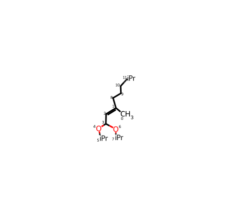 C/C(=C\C(OC(C)C)OC(C)C)CCCC(C)C